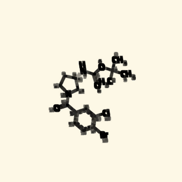 CC(C)(C)OC(=O)N[C@H]1CCN(C(=O)c2ccc(Br)c(Cl)c2)C1